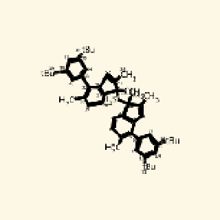 CC1=Cc2c(ccc(C)c2-c2cc(C(C)(C)C)cc(C(C)(C)C)c2)C1(C)[SiH2]C1(C)C(C)=Cc2c1ccc(C)c2-c1cc(C(C)(C)C)cc(C(C)(C)C)c1